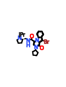 CC(C)N1CCC[C@H]1CNC(=O)c1cn(C2CCCC2)c(=O)c2c(Br)c3ccccc3n12